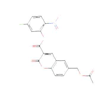 CC(=O)OCc1ccc2oc(=O)c(C(=O)Oc3cc(F)ccc3[N+](=O)[O-])cc2c1